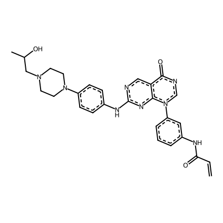 C=CC(=O)Nc1cccc(-n2cnc(=O)c3cnc(Nc4ccc(N5CCN(CC(C)O)CC5)cc4)nc32)c1